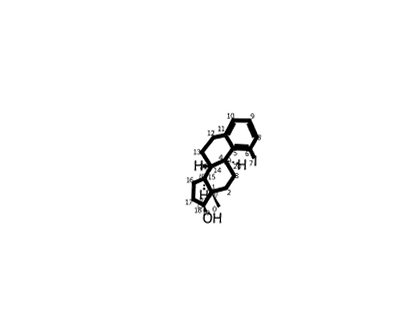 C[C@]12CC[C@@H]3c4c(I)cccc4CC[C@H]3[C@@H]1CC[C@@H]2O